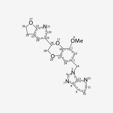 COc1cc(Cn2cnc3cccnc32)cc2c1OC(c1cnc3c(c1)CCO3)CO2